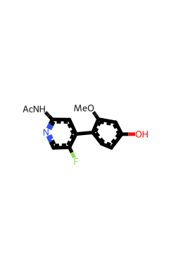 COc1cc(O)ccc1-c1cc(NC(C)=O)ncc1F